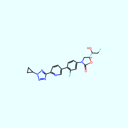 O=C1O[C@@H](C(O)CF)CN1c1ccc(-c2ccc(-c3nnn(C4CC4)n3)nc2)c(F)c1